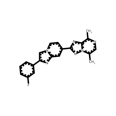 Cc1ncc(C)n2nc(-c3ccn4cc(-c5cccc(F)c5)nc4c3)nc12